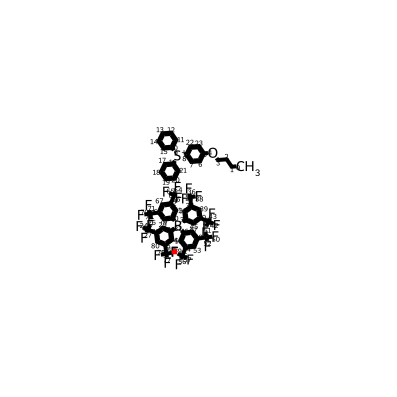 CCCCOc1ccc([S+](c2ccccc2)c2ccccc2)cc1.FC(F)(F)c1cc([B-](c2cc(C(F)(F)F)cc(C(F)(F)F)c2)(c2cc(C(F)(F)F)cc(C(F)(F)F)c2)c2cc(C(F)(F)F)cc(C(F)(F)F)c2)cc(C(F)(F)F)c1